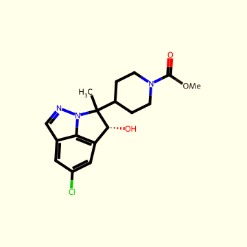 COC(=O)N1CCC(C2(C)[C@H](O)c3cc(Cl)cc4cnn2c34)CC1